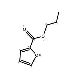 [CH2]CCOC(=O)c1ccco1